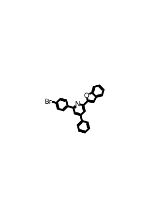 Brc1ccc(-c2cc(-c3ccccc3)cc(-c3cc4ccccc4o3)n2)cc1